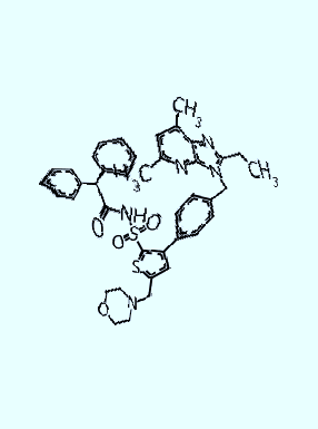 CCc1nc2c(C)cc(C)nc2n1Cc1ccc(-c2cc(CN3CCOCC3)sc2S(=O)(=O)NC(=O)C(c2ccccc2)c2ccccc2)cc1